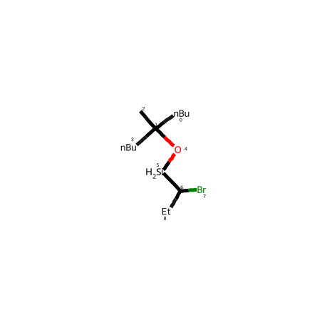 CCCCC(C)(CCCC)O[SiH2]C(Br)CC